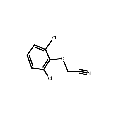 N#CCOc1c(Cl)c[c]cc1Cl